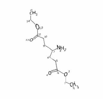 CCOC(=O)CCC(N)CCC(=O)OCC